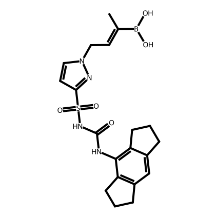 CC(=CCn1ccc(S(=O)(=O)NC(=O)Nc2c3c(cc4c2CCC4)CCC3)n1)B(O)O